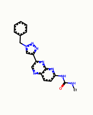 CCNC(=O)Nc1ccc2ncc(-c3cn(Cc4ccccc4)nn3)nc2n1